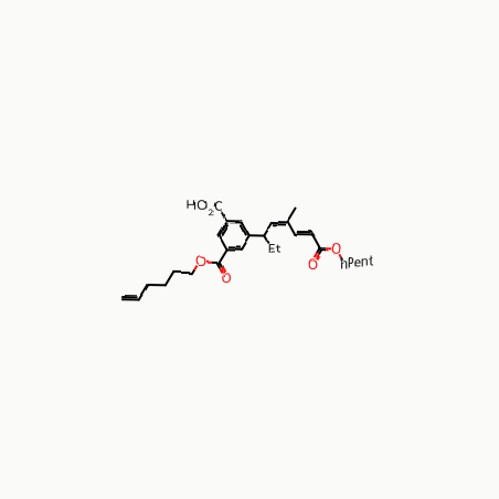 C=CCCCCOC(=O)c1cc(C(=O)O)cc(C(/C=C(C)\C=C\C(=O)OCCCCC)CC)c1